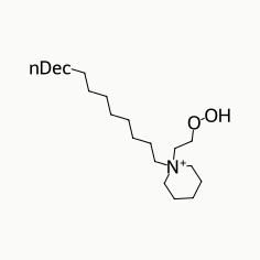 CCCCCCCCCCCCCCCCCC[N+]1(CCOO)CCCCC1